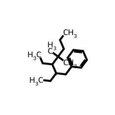 CCCC(C)(C)C(CC)[C](CC)Cc1ccccc1